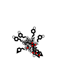 C[Si](C)(CCC1CCC2OC2C1)O[Si]12C[Si]3(O[SiH2]CCC4CCC5OC5C4)O[Si]4(O[Si](C)(C)CCC5CCC6CC6C5)O[Si](O[Si](C)(C)CCC5CCC6CC6C5)(O1)O[Si]1(O[Si](C)(C)CCC5CCC6CC6C5)O[Si](O[Si](C)(C)CCC5CCC6OC6C5)(O2)O[Si](O[Si](C)(C)CCC2CCC5OC5C2)(O3)O[Si](O[Si](C)(C)CCC2CCC3OC3C2)(O4)O1